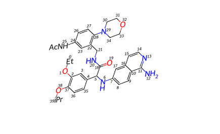 CCOc1cc(C(Nc2ccc3c(N)nccc3c2)C(=O)NCc2cc(NC(C)=O)ccc2N2CCOCC2)ccc1OC(C)C